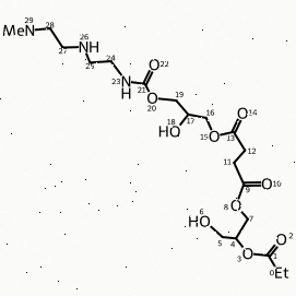 CCC(=O)OC(CO)COC(=O)CCC(=O)OCC(O)COC(=O)NCCNCCNC